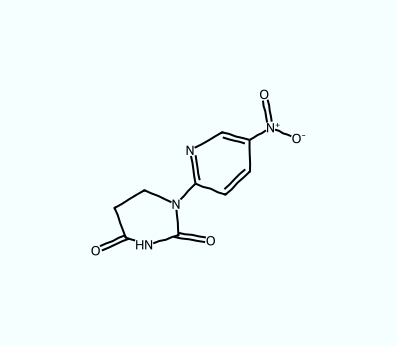 O=C1CCN(c2ccc([N+](=O)[O-])cn2)C(=O)N1